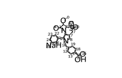 COC1C(=O)N2c3c(cn(Cc4ccc(C(=O)O)cc4)c3-c3ccccc3)CS(=O)(=O)C12.[NaH]